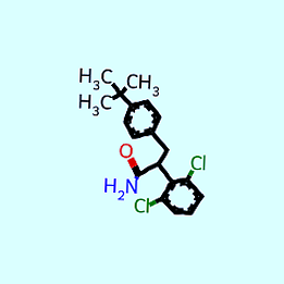 CC(C)(C)c1ccc(CC(C(N)=O)c2c(Cl)cccc2Cl)cc1